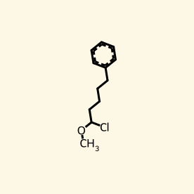 COC(Cl)CCCCc1ccccc1